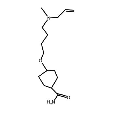 C=CCN(C)CCCCOC1CCC(C(N)=O)CC1